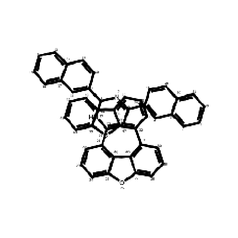 c1ccc2cc(C3=NC(c4ccc5ccccc5c4)NC(c4cccc5oc6cccc(-c7cccc8c7oc7ccccc78)c6c45)=N3)ccc2c1